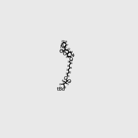 CC(CC(C)(C)C)C(C)(C)C(=O)OCCCCCCCCOc1cc2oc(=O)c(-c3ccccn3)cc2cn1